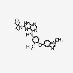 Cc1cc(Nc2ncnc3cnc(N4CCC45COC5)nc23)ccc1Oc1ccc2c(c1)ncn2C